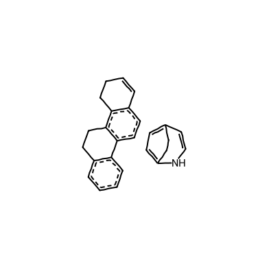 C1=CC2=CC=C(CC2)N1.C1=Cc2ccc3c(c2CC1)CCc1ccccc1-3